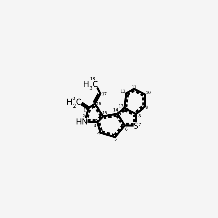 C=c1[nH]c2ccc3sc4ccccc4c3c2/c1=C/C